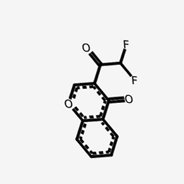 O=C(c1coc2ccccc2c1=O)C(F)F